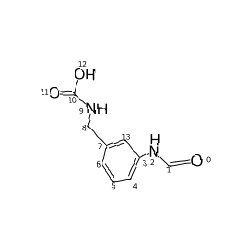 O=CNc1cccc(CNC(=O)O)c1